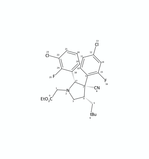 CCOC(=O)CN1C[C@@H](CC(C)(C)C)[C@](C#N)(c2ccc(Cl)cc2F)[C@H]1c1cccc(Cl)c1F